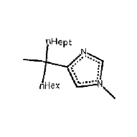 CCCCCCCC(C)(CCCCCC)c1cn(C)cn1